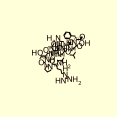 CC(C)C[C@H](NC(=O)[C@H](CC(N)=O)NC(=O)[C@H](CC(C)C)NC(=O)[C@@H](NC(=O)[C@@H](NC(=O)[C@@H]1CCCN1C(=O)[C@@H](N)CCCNC(=N)N)[C@@H](C)O)[C@@H](C)O)C(=O)N[C@@H](Cc1ccccc1)C(=O)O